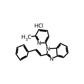 Cc1cccc(-n2c(C=Cc3ccccc3)nc3ccccc32)n1.Cl